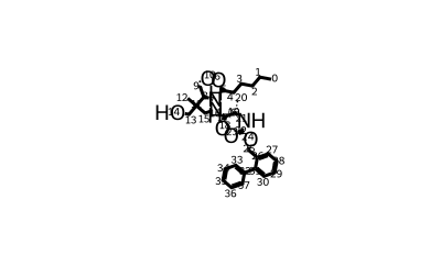 CCCCCC(=O)NC([C]=O)C(C)(CO)CNC(=O)[C@H](C)NC(=O)OCc1ccccc1-c1ccccc1